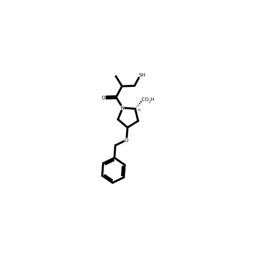 CC(CS)C(=O)N1CC(OCc2ccccc2)C[C@H]1C(=O)O